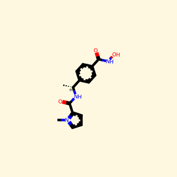 C[C@@H](NC(=O)c1cccn1C)c1ccc(C(=O)NO)cc1